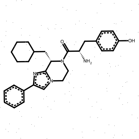 N[C@@H](Cc1ccc(O)cc1)C(=O)N1CCn2cc(-c3ccccc3)nc2[C@@H]1CC1CCCCC1